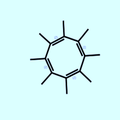 CC1=C(C)/C(C)=C(C)\C(C)=C(C)/C(C)=C\1C